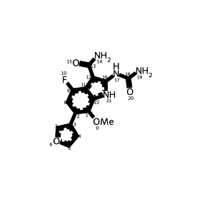 COc1c(-c2ccoc2)cc(F)c2c(C(N)=O)c(NC(N)=O)[nH]c12